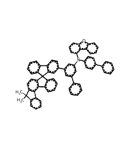 CC1(C)c2ccccc2-c2c1ccc1c2-c2ccccc2C12c1ccccc1-c1ccc(-c3cc(-c4ccccc4)cc(N(c4ccc(-c5ccccc5)cc4)c4cccc5oc6ccccc6c45)c3)cc12